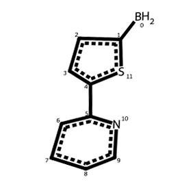 Bc1ccc(-c2ccccn2)s1